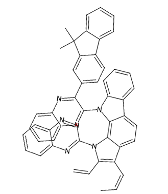 C=Cc1c(/C=C\C)c2ccc3c4ccccc4n(-c4nc5ccccc5nc4-c4ccc5c(c4)C(C)(C)c4ccccc4-5)c3c2n1-c1cnc2ccccc2n1